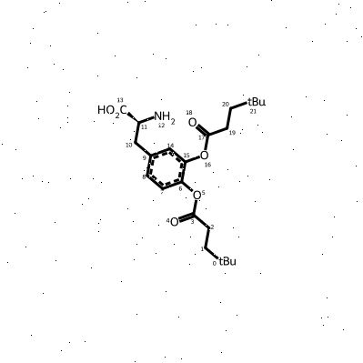 CC(C)(C)CCC(=O)Oc1ccc(C[C@H](N)C(=O)O)cc1OC(=O)CCC(C)(C)C